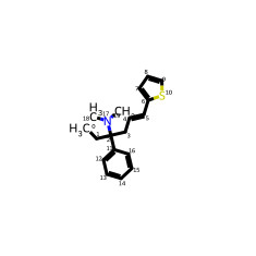 CCC(CC=Cc1cccs1)(c1ccccc1)N(C)C